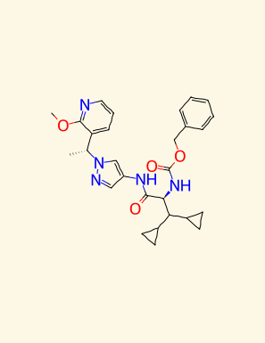 COc1ncccc1[C@@H](C)n1cc(NC(=O)[C@@H](NC(=O)OCc2ccccc2)C(C2CC2)C2CC2)cn1